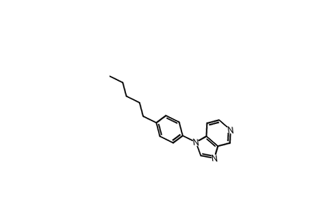 CCCCCc1ccc(-n2cnc3cnccc32)cc1